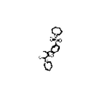 Cc1c(C(=O)N2CCCCC2)oc2ccc(S(=O)(=O)N3CCCCCC3)cc12